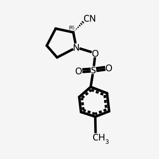 Cc1ccc(S(=O)(=O)ON2CCC[C@@H]2C#N)cc1